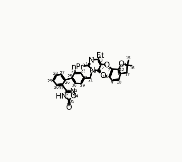 CCCc1nc(CC)c(Oc2cccc3c2OC(C)(C)C3)c(=O)n1Cc1ccc(-c2ccccc2-c2noc(=O)[nH]2)cc1